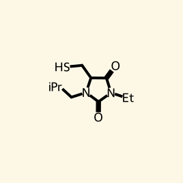 CCN1C(=O)C(CS)N(CC(C)C)C1=O